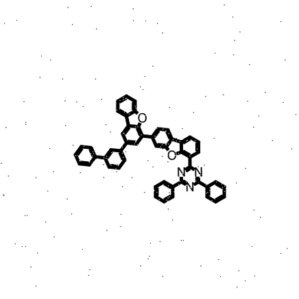 c1ccc(-c2cccc(-c3cc(-c4ccc5c(c4)oc4c(-c6nc(-c7ccccc7)nc(-c7ccccc7)n6)cccc45)c4oc5ccccc5c4c3)c2)cc1